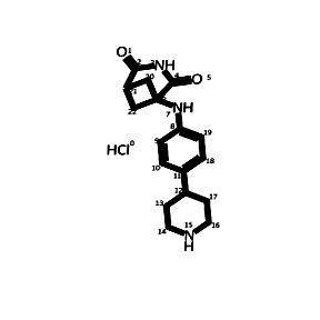 Cl.O=C1NC(=O)C2(Nc3ccc(C4CCNCC4)cc3)CC1C2